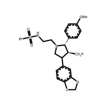 COc1ccc([C@@H]2[C@@H](C(=O)O)C(c3ccc4c(c3)OCO4)CN2CCNS(=O)(=O)C(C)C)cc1